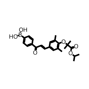 Cc1cc(C=CC(=O)c2ccc(B(O)O)cc2)cc(C)c1OC(C)(C)C(=O)OC(C)C